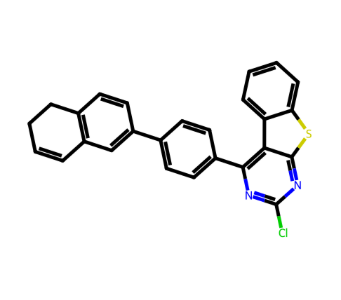 Clc1nc(-c2ccc(-c3ccc4c(c3)C=CCC4)cc2)c2c(n1)sc1ccccc12